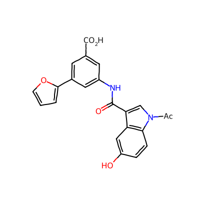 CC(=O)n1cc(C(=O)Nc2cc(C(=O)O)cc(-c3ccco3)c2)c2cc(O)ccc21